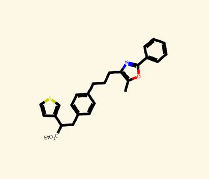 CCOC(=O)C(Cc1ccc(CCCc2nc(-c3ccccc3)oc2C)cc1)c1ccsc1